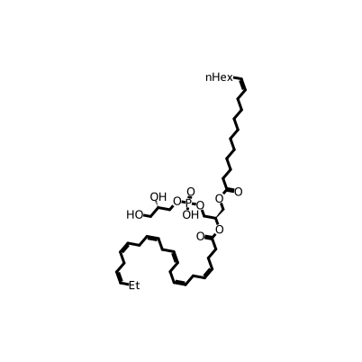 CC/C=C\C/C=C\C/C=C\C/C=C\C/C=C\C/C=C\CCC(=O)O[C@H](COC(=O)CCCCCCCCC/C=C\CCCCCC)COP(=O)(O)OC[C@@H](O)CO